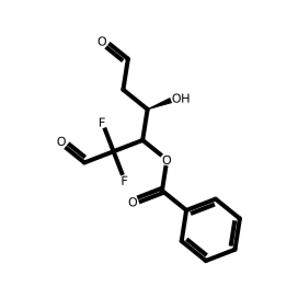 O=CC[C@@H](O)C(OC(=O)c1ccccc1)C(F)(F)C=O